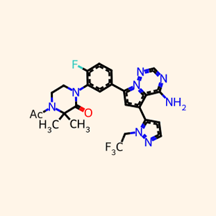 CC(=O)N1CCN(c2cc(-c3cc(-c4ccnn4CC(F)(F)F)c4c(N)ncnn34)ccc2F)C(=O)C1(C)C